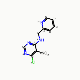 O=[N+]([O-])c1c(Cl)ncnc1NCc1ccccn1